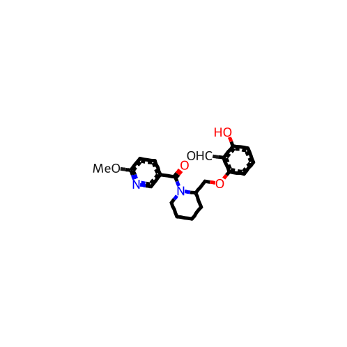 COc1ccc(C(=O)N2CCCCC2COc2cccc(O)c2C=O)cn1